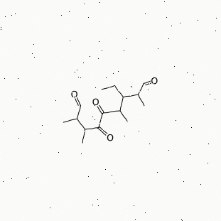 CCC(C(C)C=O)C(C)C(=O)C(=O)C(C)C(C)C=O